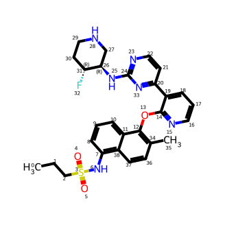 CCCS(=O)(=O)Nc1cccc2c(Oc3ncccc3-c3ccnc(N[C@@H]4CNCC[C@H]4F)n3)c(C)ccc12